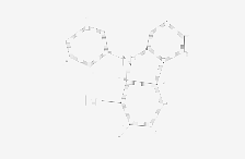 Brc1c(I)ccc2c3ccccc3n(-c3ccccc3)c12